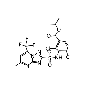 Cc1cc(C(F)(F)F)n2nc(S(=O)(=O)Nc3c(Cl)ccc(C(=O)OC(C)C)c3Cl)nc2n1